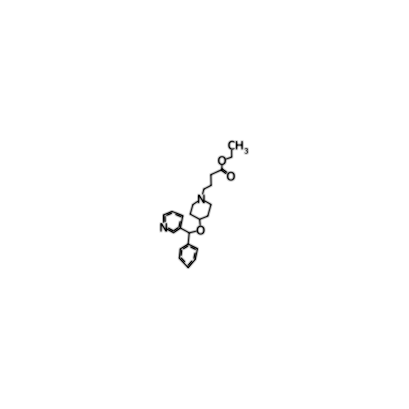 CCOC(=O)CCCN1CCC(OC(c2ccccc2)c2cccnc2)CC1